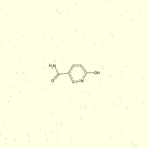 NC(=O)c1ccc(O)nc1